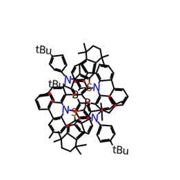 Cc1cc(-c2ccccc2)c(N2c3ccc(C(C)(C)Cc4cccc(-c5cccc(-c6ccccc6)c5N5c6ccc(C(C)(C)C)cc6B6c7sc8cc9c(cc8c7N(c7ccc(C(C)(C)C)cc7)c7cc(C)cc5c76)C(C)(C)CCC9(C)C)c4)cc3B3c4sc5cc6c(cc5c4N(c4ccc(C(C)(C)C)cc4)c4cc(C)cc2c43)C(C)(C)CCC6(C)C)c(-c2ccccc2)c1